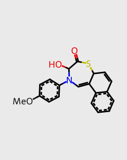 COc1ccc(N2C=C3c4ccccc4C=CC3SC(=O)C2O)cc1